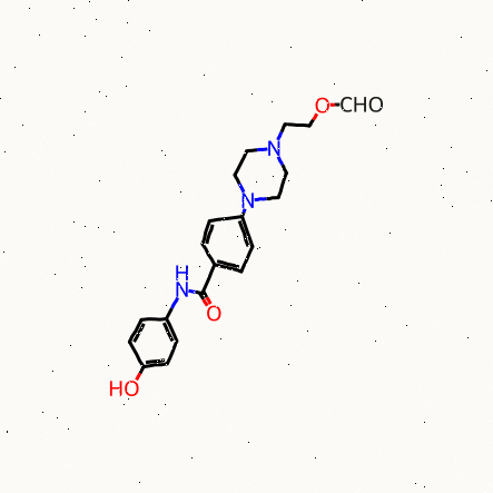 O=COCCN1CCN(c2ccc(C(=O)Nc3ccc(O)cc3)cc2)CC1